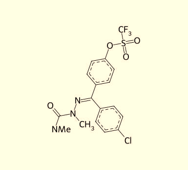 CNC(=O)N(C)N=C(c1ccc(Cl)cc1)c1ccc(OS(=O)(=O)C(F)(F)F)cc1